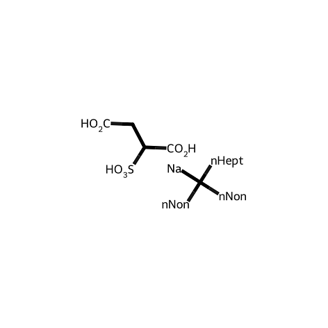 CCCCCCCCC[C]([Na])(CCCCCCC)CCCCCCCCC.O=C(O)CC(C(=O)O)S(=O)(=O)O